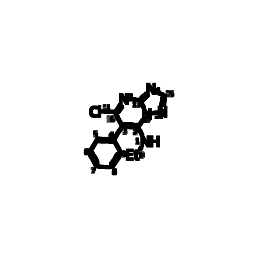 CCNc1c(-c2ccccc2)c(Cl)nc2ncnn12